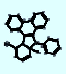 CC1=CC=C[C@@H]2C1c1c(c3ccccc3c3ccccc13)N2c1ccccc1